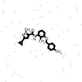 Cc1ccc(COc2cccc(NC(=O)c3cc(C4CC4)nn3C)c2C)cc1